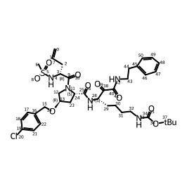 C=CC[C@@H](NS(C)(=O)=O)C(=O)N1C[C@H](OCc2ccc(Cl)cc2)C[C@H]1C(=O)N[C@@H](CCCCNC(=O)OC(C)(C)C)C(=O)C(=O)NCCc1ccccc1